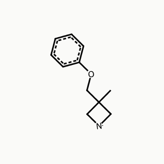 CC1(COc2ccccc2)C[N]C1